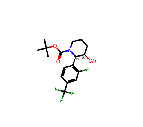 CC(C)(C)OC(=O)N1CCC[C@@H](O)[C@H]1c1ccc(C(F)(F)F)cc1F